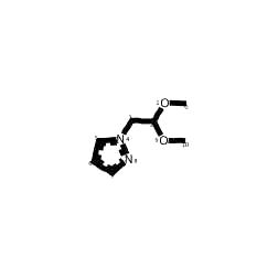 COC(Cn1cccn1)OC